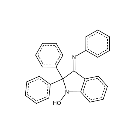 ON1c2ccccc2/C(=N\c2ccccc2)C1(c1ccccc1)c1ccccc1